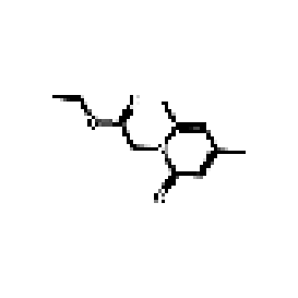 CCOC(=O)Cn1c(C)cc(C)cc1=O